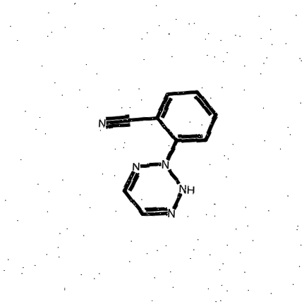 N#Cc1ccccc1N1N=CC=NN1